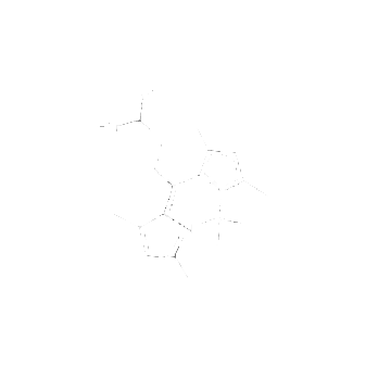 CC1=CC(C)=[N+]2C1=C(CCC(O)O)c1c(C)cc(C)n1[B-]2(F)F